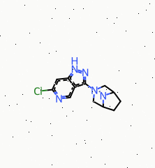 CN1C2CCC1CN(c1n[nH]c3cc(Cl)ncc13)C2